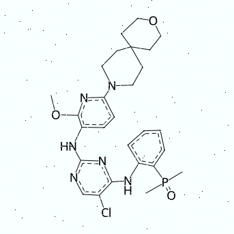 COc1nc(N2CCC3(CCOCC3)CC2)ccc1Nc1ncc(Cl)c(Nc2ccccc2P(C)(C)=O)n1